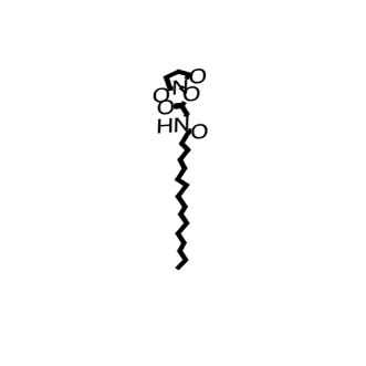 CCCCCCCCCCCCCCCC(=O)NCC(=O)ON1C(=O)CCC1=O